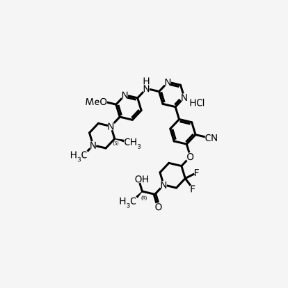 COc1nc(Nc2cc(-c3ccc(OC4CCN(C(=O)[C@@H](C)O)CC4(F)F)c(C#N)c3)ncn2)ccc1N1CCN(C)C[C@@H]1C.Cl